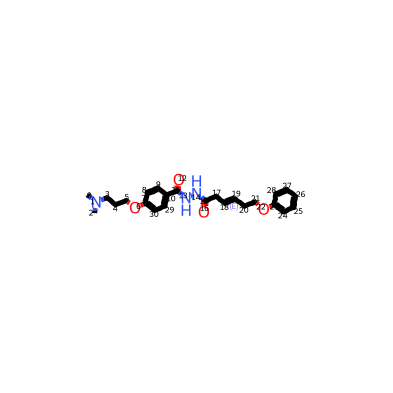 CN(C)CCCOc1ccc(C(=O)NNC(=O)C/C=C/CCOc2ccccc2)cc1